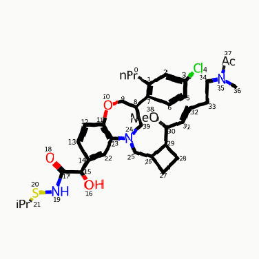 CCCc1cc(Cl)ccc1C1COc2ccc(C(O)C(=O)NSC(C)C)cc2N(CC2CCC2C(/C=C/CCN(C)C(C)=O)OC)C1